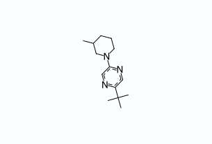 CC1CCCN(c2cnc(C(C)(C)C)cn2)C1